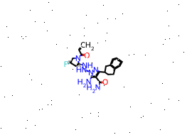 C=CC(=O)N1C[C@H](F)C[C@@H]1NNn1nc(C2CCc3ccccc3C2)c(C(N)=O)c1N